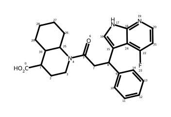 O=C(O)C1CCN(C(=O)CC(c2ccccc2)c2c[nH]c3nccc(F)c23)C2CCCCC12